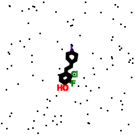 Oc1ccc(CCC2CCC(I)CC2)c(Cl)c1F